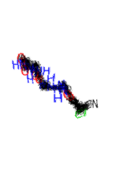 CC(C)(c1ccc(OCc2ccnc(NCCNCC3CCN(CCOCC(=O)Nc4cccc(NC5CCC(=O)NC5=O)n4)CC3)n2)cc1)c1cc(Cl)cc(C#N)c1